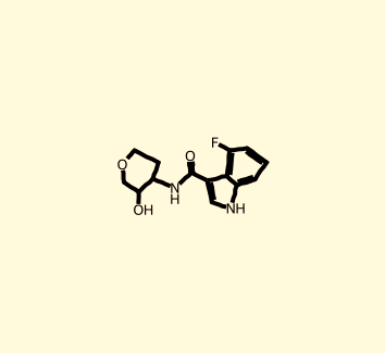 O=C(NC1CCOCC1O)c1c[nH]c2cccc(F)c12